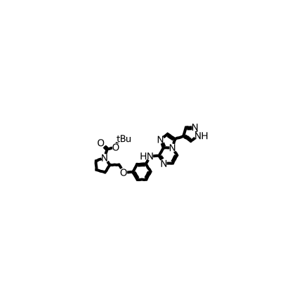 CC(C)(C)OC(=O)N1CCCC1COc1cccc(Nc2nccn3c(-c4cn[nH]c4)cnc23)c1